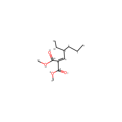 CCCC(C=C(C(=O)OC)C(=O)OC)CC